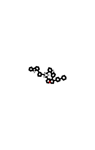 c1ccc(-c2ccc(-c3ccccc3-c3ccc4sc5cccc(-c6nc(-c7ccccc7)nc(-c7cccc(-c8cccc9c8sc8ccccc89)c7)n6)c5c4c3)cc2)cc1